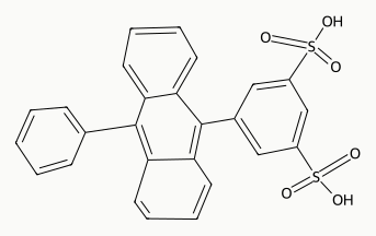 O=S(=O)(O)c1cc(-c2c3ccccc3c(-c3ccccc3)c3ccccc23)cc(S(=O)(=O)O)c1